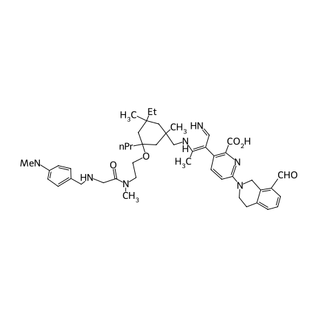 CCCC1(OCCN(C)C(=O)CNCc2ccc(NC)cc2)CC(C)(CC)CC(C)(CN/C(C)=C(\C=N)c2ccc(N3CCc4cccc(C=O)c4C3)nc2C(=O)O)C1